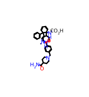 CN(CCC1(c2ccccc2)C=CC=CC1(NC(=O)O)C1CCNCC1)C(=O)c1ccc(CN2CCC(C(N)=O)CC2)cc1